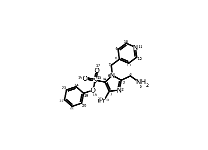 CC(C)c1nc(CN)n(Cc2ccncc2)c1S(=O)(=O)Oc1ccccc1